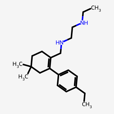 CCNCCNCC1=C(c2ccc(CC)cc2)CC(C)(C)CC1